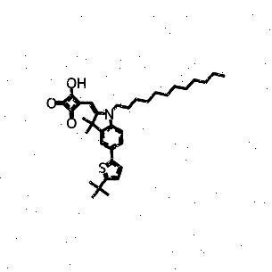 CCCCCCCCCCCCN1/C(=C/c2c(O)c(=O)c2=O)C(C)(C)c2cc(-c3ccc(C(C)(C)C)s3)ccc21